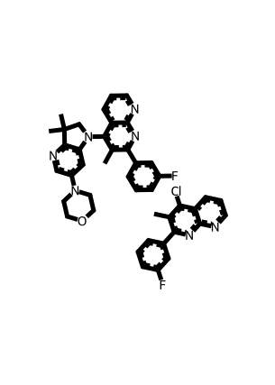 Cc1c(-c2cccc(F)c2)nc2ncccc2c1Cl.Cc1c(-c2cccc(F)c2)nc2ncccc2c1N1CC(C)(C)c2ncc(N3CCOCC3)cc21